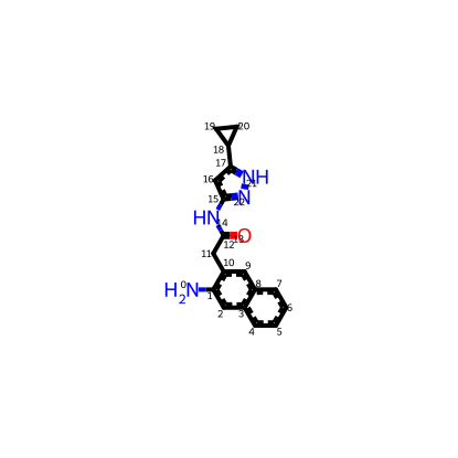 Nc1cc2ccccc2cc1CC(=O)Nc1cc(C2CC2)[nH]n1